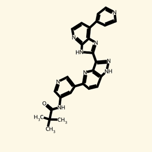 CC(C)(C)C(=O)Nc1cncc(-c2ccc3[nH]nc(-c4nc5c(-c6ccncc6)ccnc5[nH]4)c3n2)c1